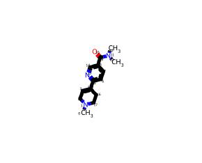 CN1CC=C(c2ccc(C(=O)N(C)C)cn2)CC1